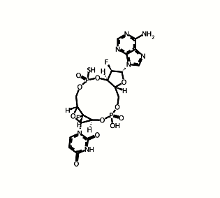 Nc1ncnc2c1ncn2[C@@H]1O[C@@H]2COP(=O)(O)O[C@@H]3[C@H](F)[C@@H](COP(=O)(S)O[C@H]2[C@H]1F)O[C@H]3n1ccc(=O)[nH]c1=O